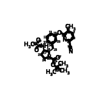 Cc1ccc(C#N)nc1Oc1cccc(C[C@H]2[C@@H](NS(C)(=O)=O)CCN2C(=O)OC(C)(C)C)c1